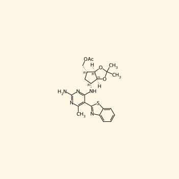 CC(=O)OC[C@H]1C[C@@H](Nc2nc(N)nc(C)c2-c2nc3ccccc3s2)[C@@H]2OC(C)(C)O[C@H]12